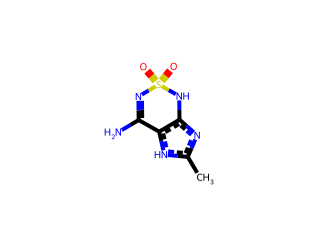 Cc1nc2c([nH]1)C(N)=NS(=O)(=O)N2